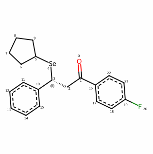 O=C(C[C@@H]([Se]C1CCCC1)c1ccccc1)c1ccc(F)cc1